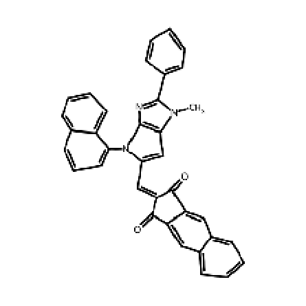 Cn1c(-c2ccccc2)nc2c1cc(C=C1C(=O)c3cc4ccccc4cc3C1=O)n2-c1cccc2ccccc12